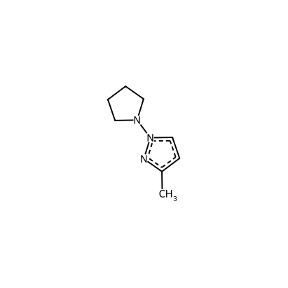 Cc1ccn(N2CCCC2)n1